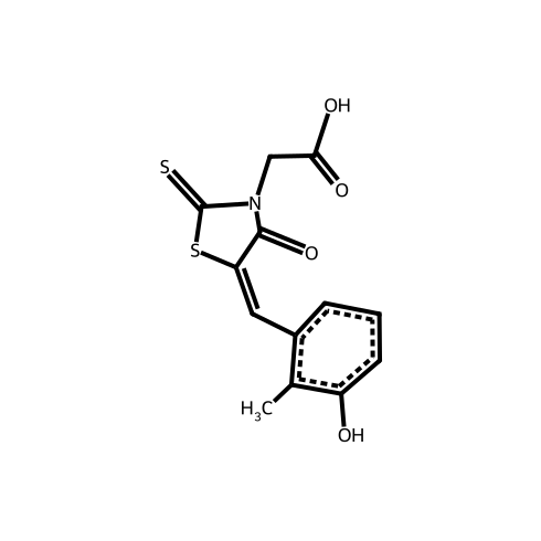 Cc1c(O)cccc1/C=C1/SC(=S)N(CC(=O)O)C1=O